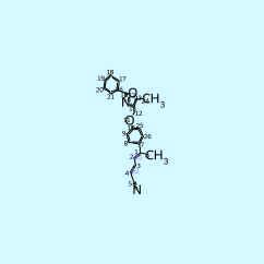 C/C(=C\C=C\C#N)c1ccc(OCc2nc(-c3ccccc3)oc2C)cc1